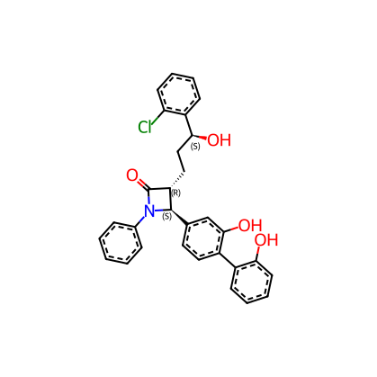 O=C1[C@H](CC[C@H](O)c2ccccc2Cl)[C@@H](c2ccc(-c3ccccc3O)c(O)c2)N1c1ccccc1